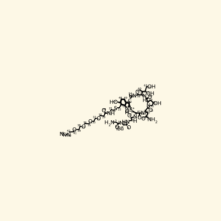 CCC(C)[C@H](NC(=O)CN)C(=O)NCC(=O)NC1C[S+]([O-])c2[nH]c3c(CSCCNC(=O)CCOCCOCCOCCOCCN=[N+]=[N-])c(O)ccc3c2C[C@@H](C)NC(=O)C(C(C)C(O)CO)NC(=O)C2CC(O)CN2C(=O)C(CC(N)=O)NC1=O